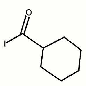 O=C(I)C1CCCCC1